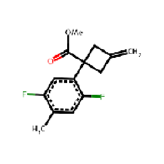 C=C1CC(C(=O)OC)(c2cc(F)c(C)cc2F)C1